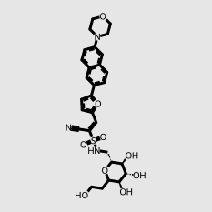 N#C/C(=C\c1ccc(-c2ccc3cc(N4CCOCC4)ccc3c2)o1)S(=O)(=O)NC[C@H]1OC(CCO)[C@H](O)[C@@H](O)[C@@H]1O